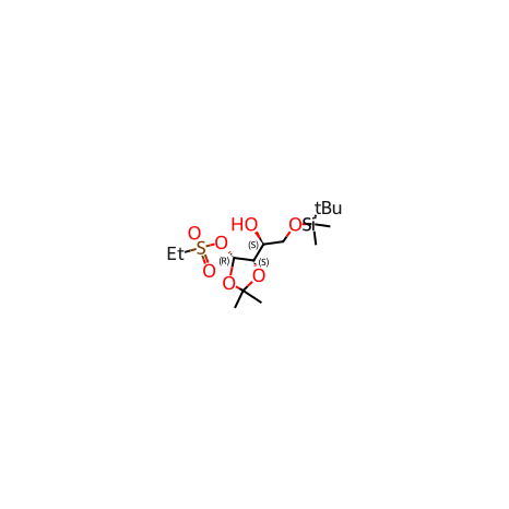 CCS(=O)(=O)O[C@H]1OC(C)(C)O[C@H]1[C@@H](O)CO[Si](C)(C)C(C)(C)C